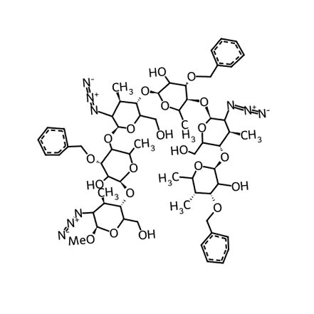 CO[C@@H]1OC(CO)[C@@H](O[C@@H]2OC(C)C(O[C@@H]3OC(CO)[C@@H](O[C@@H]4OC(C)[C@H](O[C@@H]5OC(CO)[C@@H](O[C@@H]6OC(C)[C@@H](C)[C@@H](OCc7ccccc7)C6O)[C@H](C)C5N=[N+]=[N-])[C@@H](OCc5ccccc5)C4O)[C@H](C)C3N=[N+]=[N-])[C@@H](OCc3ccccc3)C2O)[C@H](C)C1N=[N+]=[N-]